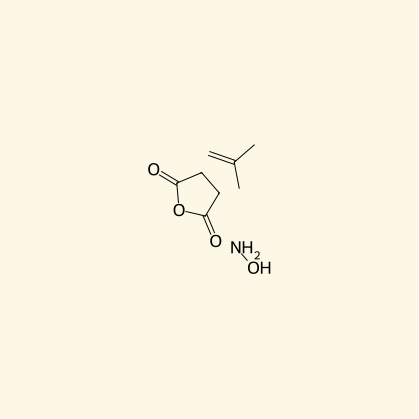 C=C(C)C.NO.O=C1CCC(=O)O1